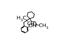 CCCCC1(C(C)(C)Cc2ccccc2O)CCCCC1